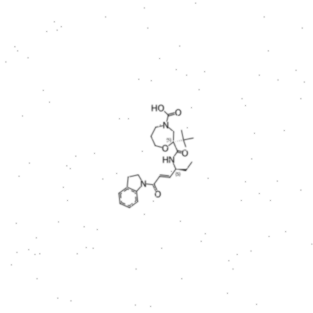 CC[C@@H](C=CC(=O)N1CCc2ccccc21)NC(=O)[C@]1(C(C)(C)C)CN(C(=O)O)CCCO1